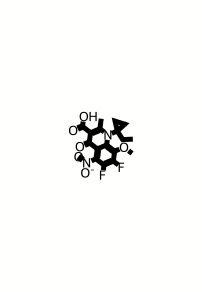 CCC1(n2c(C)c(C(=O)O)c(=O)c3c([N+](=O)[O-])c(F)c(F)c(OC)c32)CC1